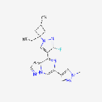 Cn1cc(-c2cn3nccc3c(-c3cn(C4(CC#N)CC(C#N)C4)nc3F)n2)cn1